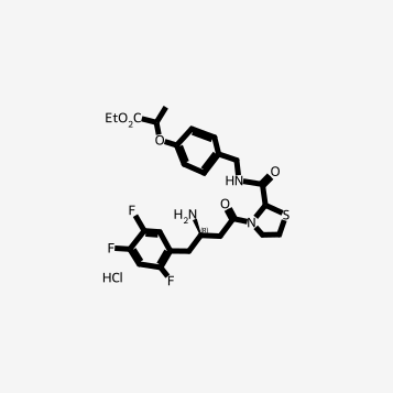 CCOC(=O)C(C)Oc1ccc(CNC(=O)C2SCCN2C(=O)C[C@H](N)Cc2cc(F)c(F)cc2F)cc1.Cl